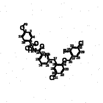 COc1ccc(S(=O)(=O)NC(=O)c2cccc(Cc3cc(Cl)ccc3OCc3ccc(Cl)cc3F)n2)cc1